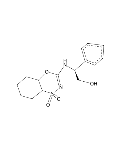 O=S1(=O)N=C(N[C@H](CO)c2ccccc2)OC2CCCCC21